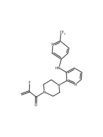 C=C(F)C(=O)N1CCN(c2ncccc2Nc2ccc(C(F)(F)F)nc2)CC1